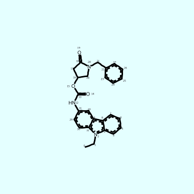 CCn1c2ccccc2c2cc(NC(=O)OC3CC(=O)N(Cc4ccccc4)C3)ccc21